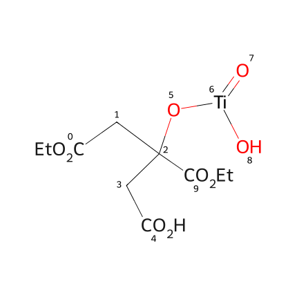 CCOC(=O)CC(CC(=O)O)([O][Ti](=[O])[OH])C(=O)OCC